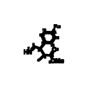 COC(=O)C(C)C(C=N)c1ccc(F)cc1